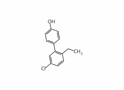 CCc1ccc(Cl)cc1-c1ccc(O)cc1